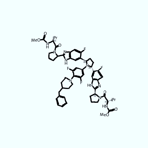 COC(=O)N[C@H](C(=O)N1CCCC1c1nc2cc(F)c([C@H]3CC[C@H](c4cc5[nH]c([C@@H]6CCCN6C(=O)[C@@H](NC(=O)OC)C(C)C)nc5cc4F)N3c3cc(F)c(N4CCC(Cc5ccccc5)CC4)c(F)c3)cc2[nH]1)C(C)C